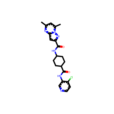 Cc1cc(C)n2nc(C(=O)NC3CCC(C(=O)Nc4cnccc4Cl)CC3)cc2n1